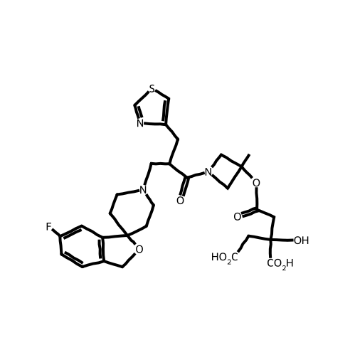 CC1(OC(=O)CC(O)(CC(=O)O)C(=O)O)CN(C(=O)C(Cc2cscn2)CN2CCC3(CC2)OCc2ccc(F)cc23)C1